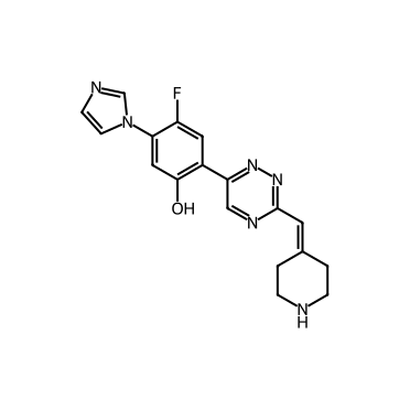 Oc1cc(-n2ccnc2)c(F)cc1-c1cnc(C=C2CCNCC2)nn1